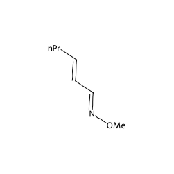 [CH2]CCC=CC=NOC